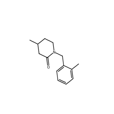 Cc1ccccc1CN1CCC(C)CC1=O